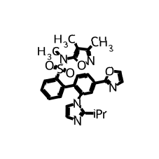 Cc1noc(N(C)S(=O)(=O)c2ccccc2-c2ccc(-c3ncco3)cc2-n2ccnc2C(C)C)c1C